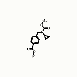 CC(C)(C)OC(=O)N(Cc1cnc(C(=O)OBr)cn1)C1CC1